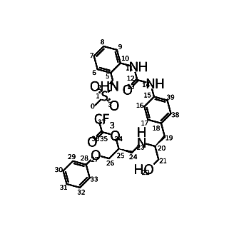 CS(=O)(=O)Nc1ccccc1NC(=O)Nc1ccc(C[C@@H](CO)NC[C@@H](COc2ccccc2)OC(=O)C(F)(F)F)cc1